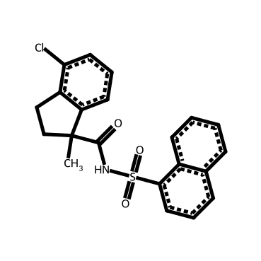 CC1(C(=O)NS(=O)(=O)c2cccc3ccccc23)CCc2c(Cl)cccc21